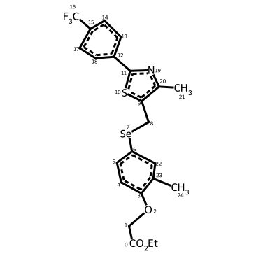 CCOC(=O)COc1ccc([Se]Cc2sc(-c3ccc(C(F)(F)F)cc3)nc2C)cc1C